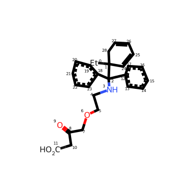 CCC1(C(NCCOCC(=O)CC(=O)O)(c2ccccc2)c2ccccc2)C=CC=CC1